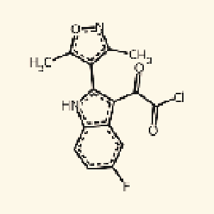 Cc1noc(C)c1-c1[nH]c2ccc(F)cc2c1C(=O)C(=O)Cl